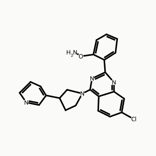 NOc1ccccc1-c1nc(N2CCC(c3cccnc3)C2)c2ccc(Cl)cc2n1